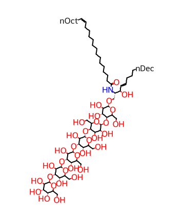 CCCCCCCC/C=C\CCCCCCCCCCCCCC(=O)N[C@@H](CO[C@@H]1OC(CO)[C@@H](O[C@@H]2OC(CO)[C@H](O[C@@H]3OC(CO)[C@H](O)[C@H](O[C@H]4OC(CO)[C@H](O)[C@H](O[C@H]5OC(CO)[C@H](O)[C@H](O[C@H]6OC(CO)[C@H](O)[C@H](O)C6O)C5O)C4O)C3O)[C@H](O)C2O)[C@H](O)C1O)[C@H](O)/C=C/CCCCCCCCCCCCC